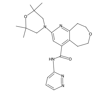 CC1(C)CN(c2cc(C(=O)Nc3cccnn3)c3c(n2)CCOCC3)CC(C)(C)O1